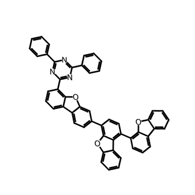 c1ccc(-c2nc(-c3ccccc3)nc(-c3cccc4c3oc3cc(-c5ccc(-c6cccc7c6oc6ccccc67)c6c5oc5ccccc56)ccc34)n2)cc1